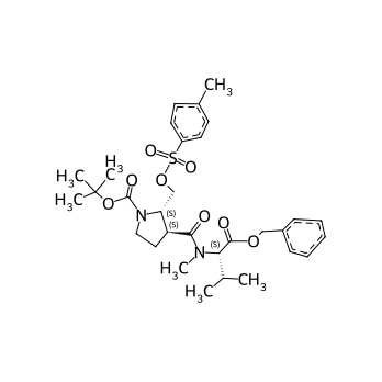 Cc1ccc(S(=O)(=O)OC[C@@H]2[C@@H](C(=O)N(C)[C@H](C(=O)OCc3ccccc3)C(C)C)CCN2C(=O)OC(C)(C)C)cc1